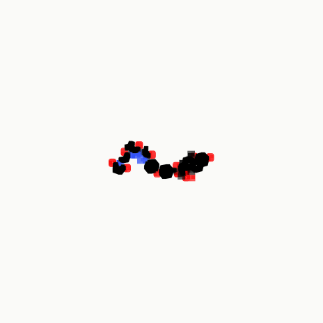 CC(C)C(NC(=O)CCN1C(=O)C=CC1=O)C(=O)N[C@@H](C)C(=O)Nc1ccc(Oc2ccc([C@@H]3O[C@@H]4CC5[C@@H]6CCC7=CC(=O)C=C[C@@]78O[C@@H](C[C@]5(C)[C@]4(C(=O)CO)O3)C68)cc2)cc1